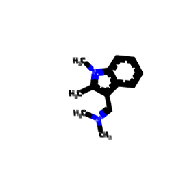 Cc1c(C=[N+](C)C)c2ccccc2n1C